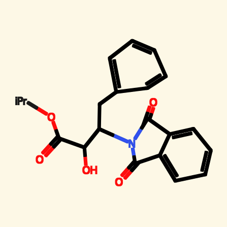 CC(C)OC(=O)C(O)C(Cc1ccccc1)N1C(=O)c2ccccc2C1=O